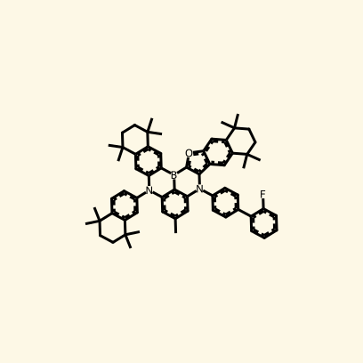 Cc1cc2c3c(c1)N(c1ccc(-c4ccccc4F)cc1)c1c(oc4cc5c(cc14)C(C)(C)CCC5(C)C)B3c1cc3c(cc1N2c1ccc2c(c1)C(C)(C)CCC2(C)C)C(C)(C)CCC3(C)C